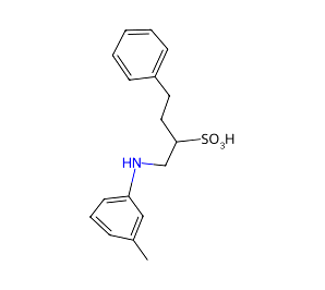 Cc1cccc(NCC(CCc2ccccc2)S(=O)(=O)O)c1